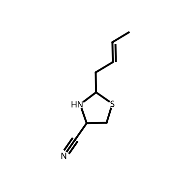 CC=CCC1NC(C#N)CS1